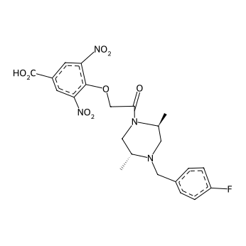 C[C@@H]1CN(C(=O)COc2c([N+](=O)[O-])cc(C(=O)O)cc2[N+](=O)[O-])[C@@H](C)CN1Cc1ccc(F)cc1